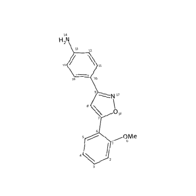 COc1ccccc1-c1cc(-c2ccc(N)cc2)no1